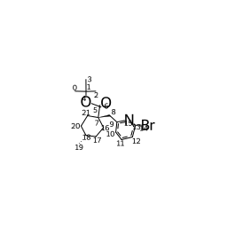 CC(C)(C)OC(=O)[C@]1(Cc2cccc(Br)n2)CC[C@H](C)CC1